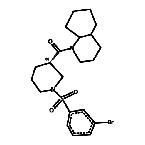 O=C([C@H]1CCCN(S(=O)(=O)c2cccc(Br)c2)C1)N1CCCC2CCCCC21